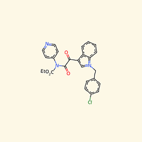 CCOC(=O)N(C(=O)C(=O)c1cn(Cc2ccc(Cl)cc2)c2ccccc12)c1ccncc1